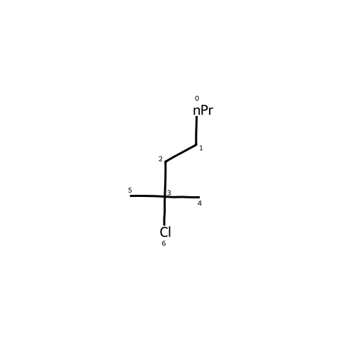 CCCCCC(C)(C)Cl